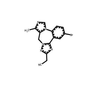 Cc1ncn2c1Cn1nc(CC#N)nc1-c1cc(Br)ccc1-2